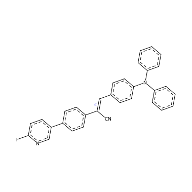 N#C/C(=C\c1ccc(N(c2ccccc2)c2ccccc2)cc1)c1ccc(-c2ccc(I)nc2)cc1